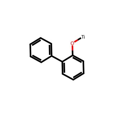 [Ti][O]c1ccccc1-c1ccccc1